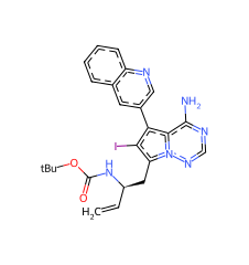 C=C[C@H](Cc1c(I)c(-c2cnc3ccccc3c2)c2c(N)ncnn12)NC(=O)OC(C)(C)C